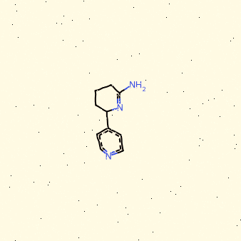 NC1=NC(c2ccncc2)CCC1